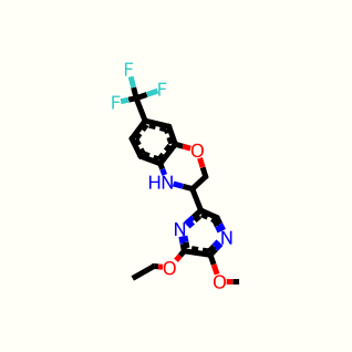 CCOc1nc(C2COc3cc(C(F)(F)F)ccc3N2)cnc1OC